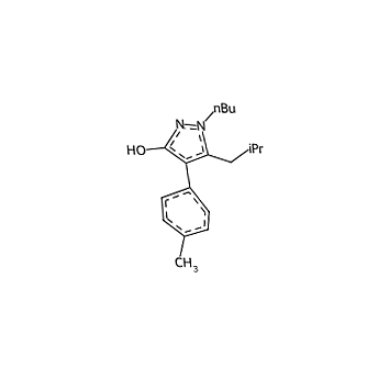 CCCCn1nc(O)c(-c2ccc(C)cc2)c1CC(C)C